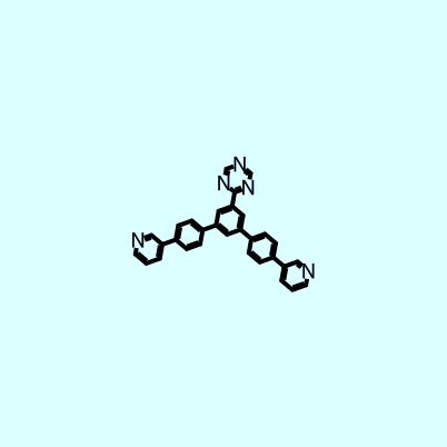 c1cncc(-c2ccc(-c3cc(-c4ccc(-c5cccnc5)cc4)cc(-c4ncncn4)c3)cc2)c1